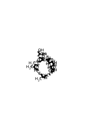 C=C1C[C@@H]2CC[C@@]34C[C@H]5O[C@H]6[C@@H](O3)[C@H]3OC(CC[C@@H]3O[C@H]6C5O4)CC(=O)C[C@@H]3[C@@H](OC)[C@@H](C[C@H](O)CO)O[C@H]3CC3O[C@@H](CCC1O2)C[C@@H](C)C3=C